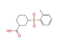 Cc1ccccc1S(=O)(=O)C1CCCC(C(=O)O)C1